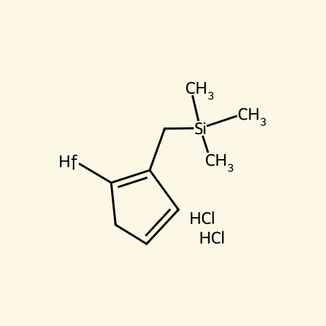 C[Si](C)(C)CC1=[C]([Hf])CC=C1.Cl.Cl